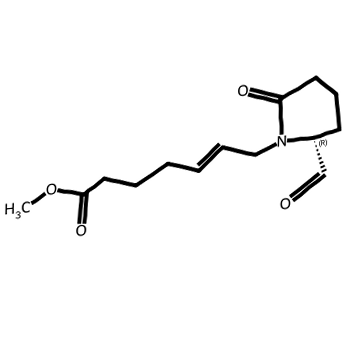 COC(=O)CCCC=CCN1C(=O)CCC[C@@H]1C=O